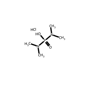 CN(C)P(=O)(O)N(C)C.Cl